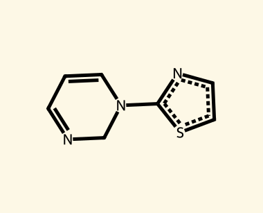 C1=CN(c2nccs2)CN=C1